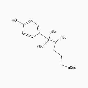 CCCCCCCCCCCCCC(CCCC)C(CCCC)(CCCC)c1ccc(O)cc1